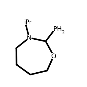 CC(C)N1CCCCOC1P